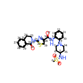 CS(=O)(=O)NC1CCN(c2ccccc2NC(=O)c2csc(N3CCc4ccccc4C3=O)n2)CC1